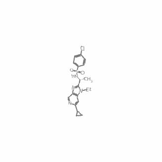 CCn1c([C@@H](C)NS(=O)(=O)c2ccc(Cl)cc2)nc2cnc(C3CC3)cc21